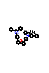 CC1(C)c2ccccc2N(c2ccc(-c3cccc4c3oc3c(-c5ccc(-c6nc(-c7ccccc7)cc(-c7ccccc7)n6)cc5)cccc34)cc2)c2ccc(-c3ccccc3)cc21